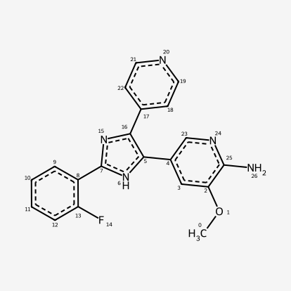 COc1cc(-c2[nH]c(-c3ccccc3F)nc2-c2ccncc2)cnc1N